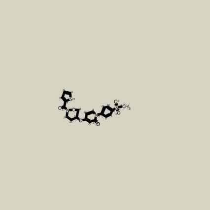 CS(=O)(=O)c1ccc(-n2ccc(OC3CCN(C(=O)c4cccs4)CC3)cc2=O)cc1